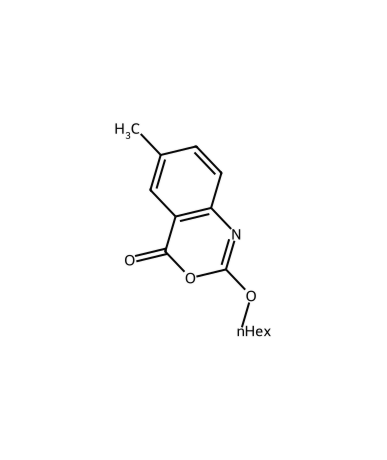 CCCCCCOc1nc2ccc(C)cc2c(=O)o1